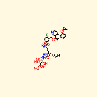 O=C(NCC(O)C(O)C(O)C(O)CO)NC(CCCNS(=O)(=O)c1ccc(Cl)c(COC2(c3cnccc3-c3ccccc3OC3CC3)CC2)c1)C(=O)O